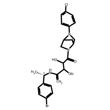 C=C(N[C@@H](C)c1ccc(Br)cc1)C(O)C(O)C(=O)N1CC2CC1CN2c1ccc(Cl)cc1